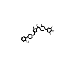 C[C@H]1CN(c2cc(F)c(F)c(F)c2)CCN1C(=O)c1cc(CN2CCN(c3ccccc3Cl)CC2)cn1C